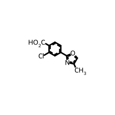 Cc1coc(-c2ccc(C(=O)O)c(Cl)c2)n1